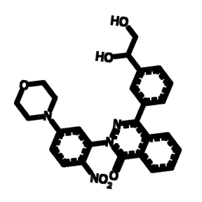 O=c1c2ccccc2c(-c2cccc(C(O)CO)c2)nn1-c1cc(N2CCOCC2)ccc1[N+](=O)[O-]